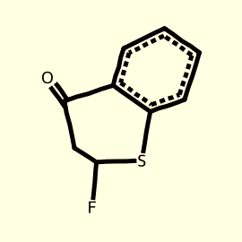 O=C1CC(F)Sc2ccccc21